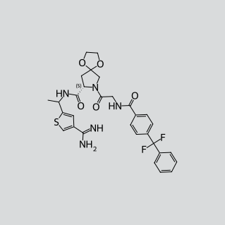 CC(NC(=O)[C@@H]1CC2(CN1C(=O)CNC(=O)c1ccc(C(F)(F)c3ccccc3)cc1)OCCO2)c1cc(C(=N)N)cs1